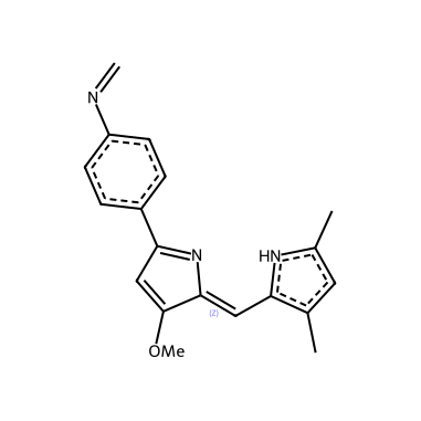 C=Nc1ccc(C2=N/C(=C\c3[nH]c(C)cc3C)C(OC)=C2)cc1